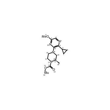 COc1cnc(C2CC2)c(N2CCN(C(=O)OC(C)(C)C)[C@H](C)C2)n1